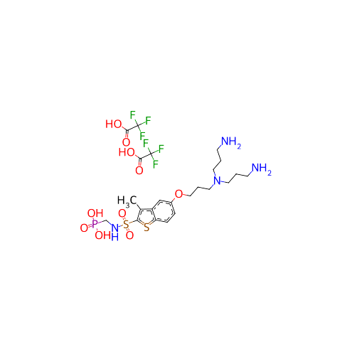 Cc1c(S(=O)(=O)NCP(=O)(O)O)sc2ccc(OCCCN(CCCN)CCCN)cc12.O=C(O)C(F)(F)F.O=C(O)C(F)(F)F